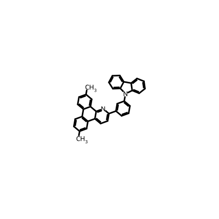 Cc1ccc2c(c1)c1ccc(-c3cccc(-n4c5ccccc5c5ccccc54)c3)nc1c1cc(C)ccc21